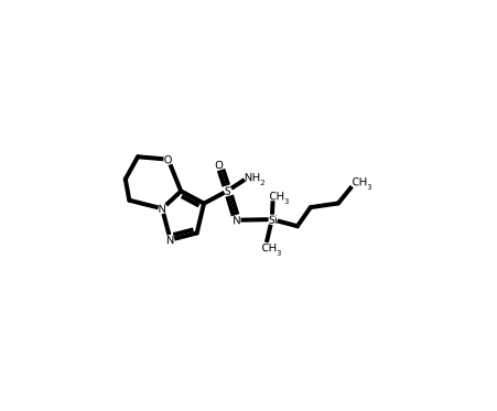 CCCC[Si](C)(C)N=S(N)(=O)c1cnn2c1OCCC2